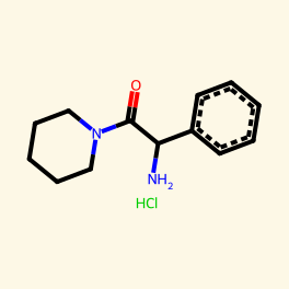 Cl.NC(C(=O)N1CCCCC1)c1ccccc1